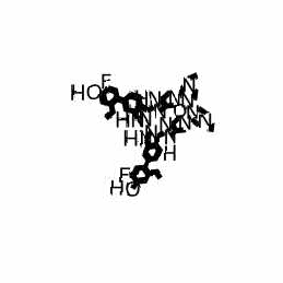 CCc1cc(O)c(F)cc1-c1ccc2c(-c3nc4c([nH]3)CN(C3CN(CC)CCN3C(=O)N3CCN(CC)CC3N3Cc5nc(-c6n[nH]c7cc(-c8cc(F)c(O)cc8CC)ccc67)[nH]c5C3)C4)n[nH]c2c1